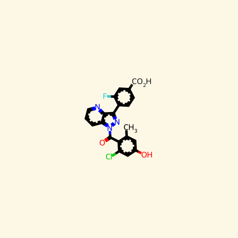 Cc1cc(O)cc(Cl)c1C(=O)n1nc(-c2ccc(C(=O)O)cc2F)c2ncccc21